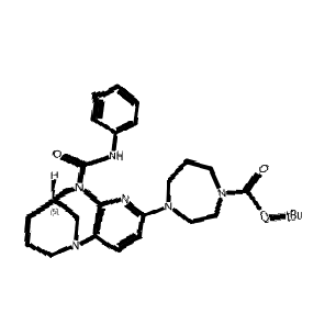 CC(C)(C)OC(=O)N1CCCN(c2ccc3c(n2)N(C(=O)Nc2ccccc2)[C@H]2CCCN3C2)CC1